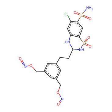 NS(=O)(=O)c1cc2c(cc1Cl)NC(CCc1cc(CON=O)cc(CON=O)c1)NS2(=O)=O